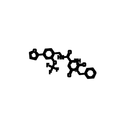 O=C(NCc1ccc(-c2ccco2)cc1OC(F)(F)F)c1cc(=O)n(Cc2ccccc2)c(=O)[nH]1